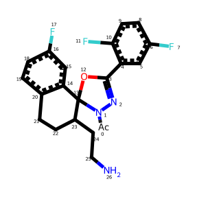 CC(=O)N1N=C(c2cc(F)ccc2F)OC12c1cc(F)ccc1CCC2CCN